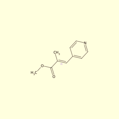 COC(=O)/C(C)=C/c1ccncc1